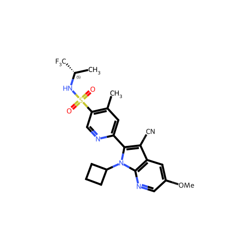 COc1cnc2c(c1)c(C#N)c(-c1cc(C)c(S(=O)(=O)N[C@@H](C)C(F)(F)F)cn1)n2C1CCC1